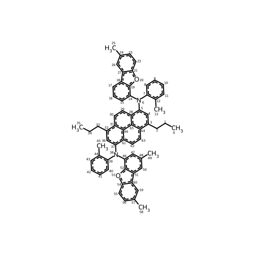 CCCc1cc(N(c2ccccc2C)c2cccc3c2oc2ccc(C)cc23)c2ccc3c(CCC)cc(N(c4ccccc4C)c4cc(C)cc5c4oc4ccc(C)cc45)c4ccc1c2c34